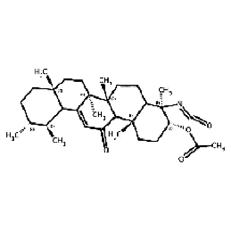 CC(=O)O[C@@H]1CC[C@@]2(C)C(CC[C@]3(C)C2C(=O)C=C2C4[C@@H](C)[C@H](C)CC[C@]4(C)CC[C@]23C)[C@@]1(C)N=C=O